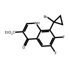 CCOC(=O)c1c[nH]c2c(C3(Br)CC3)c(F)c(F)cc2c1=O